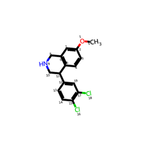 COc1ccc2c(c1)CNCC2c1ccc(Cl)c(Cl)c1